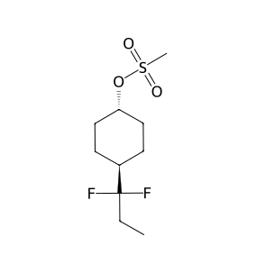 CCC(F)(F)[C@H]1CC[C@H](OS(C)(=O)=O)CC1